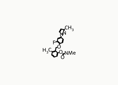 CNC(=O)Oc1cccc(C)c1COc1ccc(-n2ccc(C)n2)cc1F